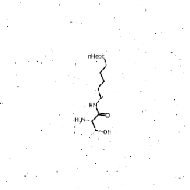 CCCCCCCCCCCCNC(=O)[C@@H](N)[C@@H](C)O